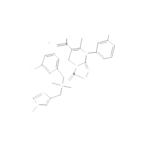 COC(=O)C1=C(C)N(c2cccc(C(F)(F)F)c2)c2n[nH]c(=O)n2[C@@H]1c1ccc(C#N)cc1C[N+](C)(C)Cc1cn(C)cn1.O=C[O-]